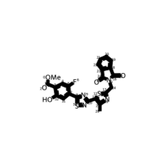 COC(=O)c1cc(F)c(-c2nc(-c3sc(CN4C(=O)c5ccccc5C4=O)nc3C)ns2)cc1O